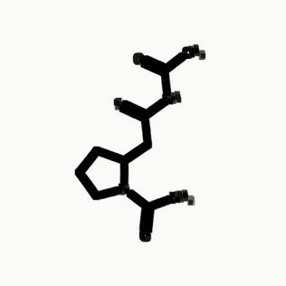 CC(=O)NC(=S)CC1CCCN1C(N)=O